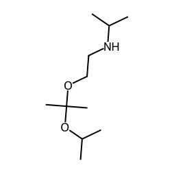 CC(C)NCCOC(C)(C)OC(C)C